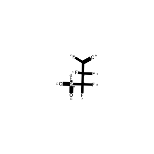 O=C(F)C(F)(F)C(F)(F)S(=O)(=O)F